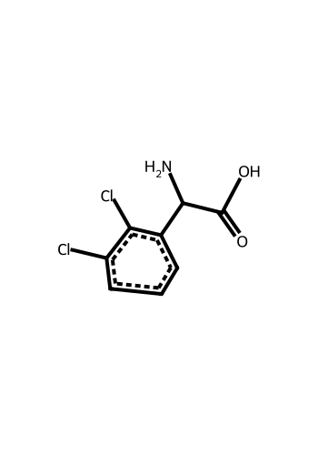 NC(C(=O)O)c1cccc(Cl)c1Cl